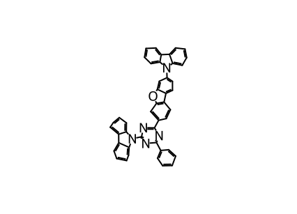 c1ccc(-c2nc(-c3ccc4c(c3)oc3cc(-n5c6ccccc6c6ccccc65)ccc34)nc(-n3c4ccccc4c4ccccc43)n2)cc1